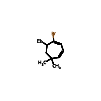 CCC1CC(C)(C)C=CC=C1Br